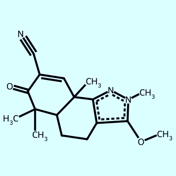 COc1c2c(nn1C)C1(C)C=C(C#N)C(=O)C(C)(C)C1CC2